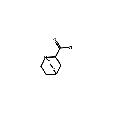 O=C(Cl)C1CC2CCN1CC2